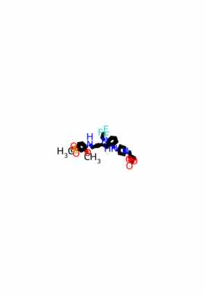 COc1cc(S(C)(=O)=O)ccc1NCC#Cc1cc2c(NC3CCN(CC4COC(=O)O4)CC3)cccc2n1CC(F)(F)F